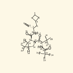 C#C[C@H](CC1CCC1)NC(=O)[C@@H]1[C@@H]2[C@H](CN1C(=O)[C@@H](NC(=O)C(F)(F)F)C(C)(C)C)C2(C)C